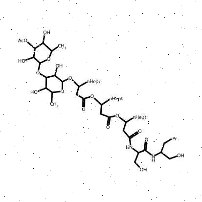 CCCCCCCC(CC(=O)NC(CO)C(=O)NC(CO)CC(C)C)OC(=O)CC(CCCCCCC)OC(=O)CC(CCCCCCC)OC1OC(C)C(O)C(OC2OC(C)C(O)C(OC(C)=O)C2O)C1O